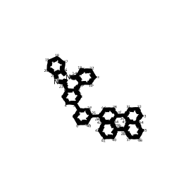 c1cc(-c2ccc3c(c2)c2ccccc2n2c4ccccc4nc32)cc(-c2ccc3c4cccc5cccc(c6cccc2c63)c54)c1